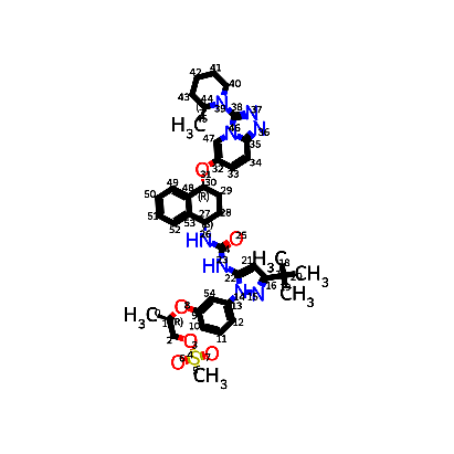 C[C@H](COS(C)(=O)=O)Oc1cccc(-n2nc(C(C)(C)C)cc2NC(=O)N[C@H]2CC[C@@H](Oc3ccc4nnc(N5CCCC[C@@H]5C)n4c3)c3ccccc32)c1